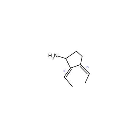 C/C=C1/CCC(N)/C1=C/C